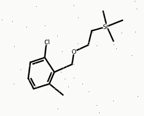 Cc1cccc(Cl)c1[CH]OCC[Si](C)(C)C